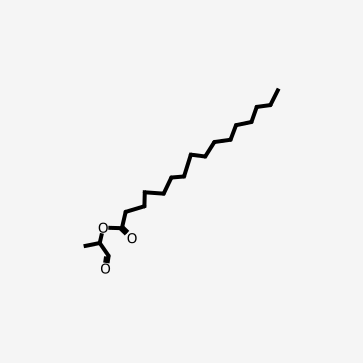 CCCCCCCCCCCCCCCC(=O)OC(C)C=O